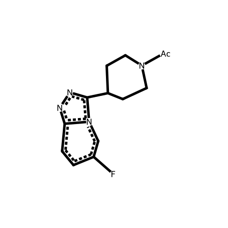 CC(=O)N1CCC(c2nnc3ccc(F)cn23)CC1